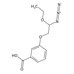 CCOC(COc1cccc(C(=O)O)c1)N=[N+]=[N-]